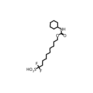 O=C(NC1CCCCC1)OCCCCCCCCCC(F)(F)S(=O)(=O)O